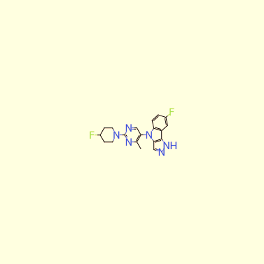 Cc1nc(N2CCC(F)CC2)ncc1-n1c2ccc(F)cc2c2[nH]ncc21